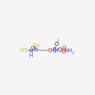 NS(=O)(=O)c1ccc(-n2nc(COCCCCCCCN(CCS)CC(=O)NCCS)cc2-c2ccc(F)cc2)cc1